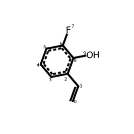 C=Cc1cccc(F)c1O